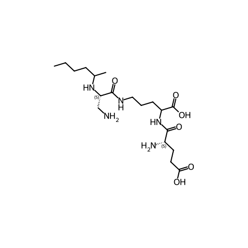 CCCCC(C)N[C@@H](CN)C(=O)NCCCC(NC(=O)[C@@H](N)CCC(=O)O)C(=O)O